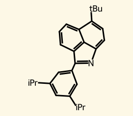 CC(C)c1cc(C2=Nc3ccc(C(C)(C)C)c4cccc2c34)cc(C(C)C)c1